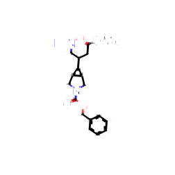 COC(=O)CC(CN)C1C2CN(C(=O)OCc3ccccc3)CC21